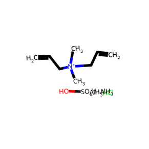 C=CC[N+](C)(C)CC=C.Cl.O=S(=O)(O)O.[AlH3].[AlH3]